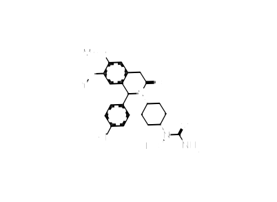 COc1cc2c(cc1OC(C)C)C(c1ccc(Cl)cc1)N([C@H]1CC[C@H](N(C)C(N)=O)CC1)C(=O)C2